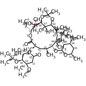 CC[C@H]1OC(=O)[C@H](C)[C@@H](OC2C[C@@](C)(OC)[C@@H](O[Si](C)(C)C)[C@H](C)O2)[C@H](C)[C@@H](OC2O[C@H](C)C[C@H](N(C)C)[C@H]2O[Si](C)(C)C)[C@@](C)(O)C[C@@H](C)[C@@H]2OC(C)(C)O[C@H]([C@H]2C)[C@]1(C)O